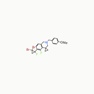 COc1ccc(CN2Cc3ccc(C4(F)CC4(Br)Br)c(F)c3C3(CC3)C2)cc1